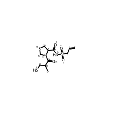 C=CCS(=O)(=O)NC(=O)C1CSCN1C(=O)C(C)CS